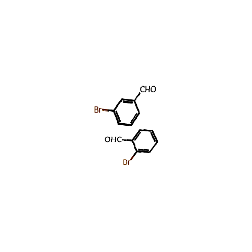 O=Cc1cccc(Br)c1.O=Cc1ccccc1Br